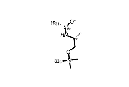 C[C@H](CO[Si](C)(C)C(C)(C)C)N[S@@+]([O-])C(C)(C)C